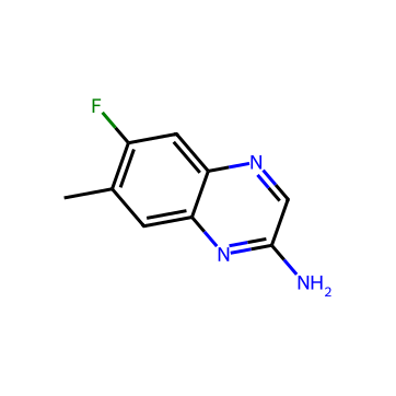 Cc1cc2nc(N)cnc2cc1F